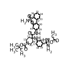 CC(=O)O.CC(C)(C)OC(=O)N1CCC(Nc2cccc(C(=N)N)c2)(C(=O)Nc2ccc(-c3ccccc3S(N)(=O)=O)cc2)CC1